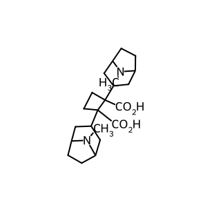 CN1C2CCC1CC(C1(C(=O)O)CCC1(C(=O)O)C1CC3CCC(C1)N3C)C2